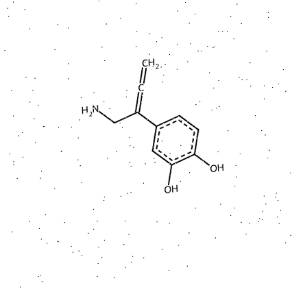 C=C=C(CN)c1ccc(O)c(O)c1